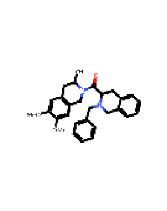 COc1cc2c(cc1OC)CN(C(=O)C1Cc3ccccc3CN1Cc1ccccc1)C(C)C2